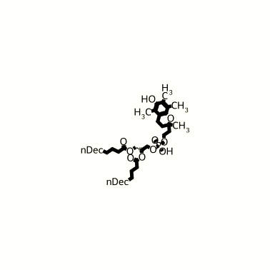 CCCCCCCCCCCCCC(=O)OC[C@H](COP(=O)(O)OCCC1(C)CCc2c(C)c(O)c(C)c(C)c2O1)OC(=O)CCCCCCCCCCCCC